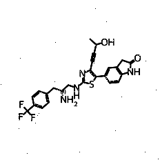 CC(O)C#Cc1nc(NC[C@H](N)Cc2ccc(C(F)(F)F)cc2)sc1-c1ccc2c(c1)CC(=O)N2